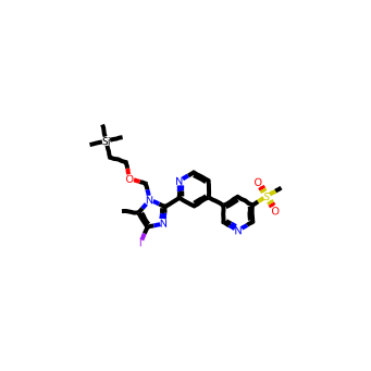 Cc1c(I)nc(-c2cc(-c3cncc(S(C)(=O)=O)c3)ccn2)n1COCC[Si](C)(C)C